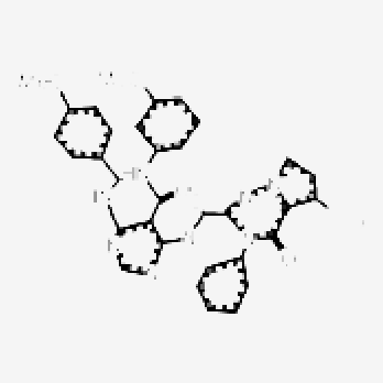 COc1ccc(CNc2ncnc(NC(C)c3nn4ccc(C)c4c(=O)n3-c3ccccc3)c2C(=O)Nc2cccc(OC)c2)cc1